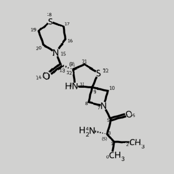 CC(C)[C@H](N)C(=O)N1CC2(C1)N[C@H](C(=O)N1CCSCC1)CS2